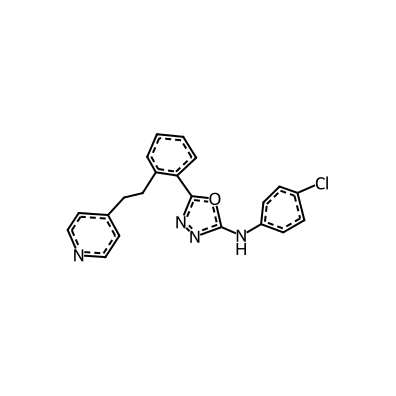 Clc1ccc(Nc2nnc(-c3ccccc3CCc3ccncc3)o2)cc1